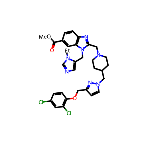 CCn1cncc1Cn1c(CN2CCC(Cn3ccc(COc4ccc(Cl)cc4Cl)n3)CC2)nc2ccc(C(=O)OC)cc21